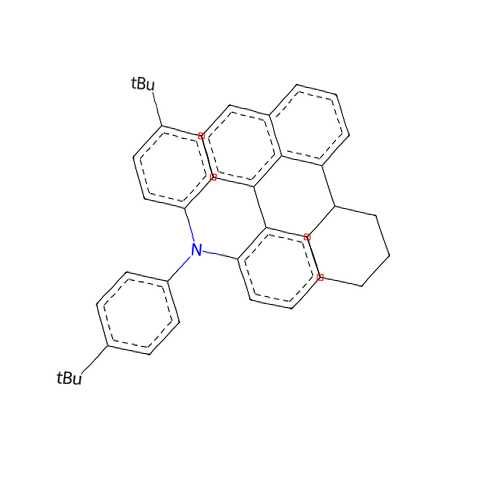 CC(C)(C)c1ccc(N(c2ccc(C(C)(C)C)cc2)c2ccccc2-c2cccc3cccc(C4CCCCC4)c23)cc1